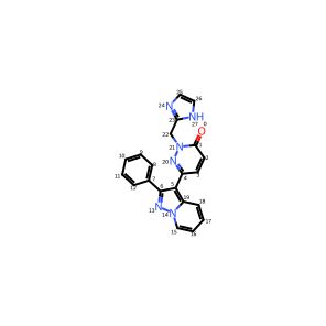 O=c1ccc(-c2c(-c3ccccc3)nn3ccccc23)nn1Cc1ncc[nH]1